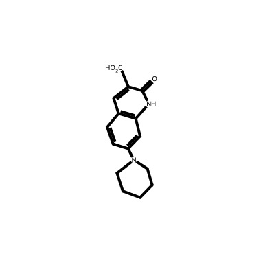 O=C(O)c1cc2ccc(N3CCCCC3)cc2[nH]c1=O